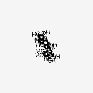 CC(C)(O)CCC(OC1O[C@H](CO)[C@H](O)[C@H](O)[C@H]1O)[C@](C)(O)[C@H]1CC[C@@]2(O)C3=CC(=O)[C@@H]4C[C@@H](O)[C@@H](O)C[C@]4(C)[C@H]3CC[C@]12C